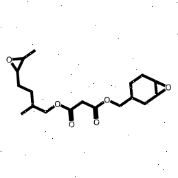 CC(CCC1OC1C)COC(=O)CC(=O)OCC1CCC2OC2C1